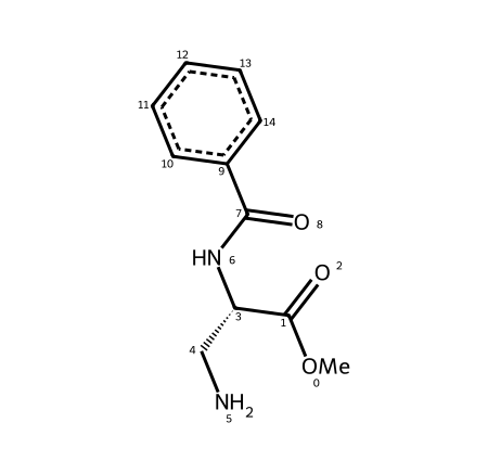 COC(=O)[C@H](CN)NC(=O)c1ccccc1